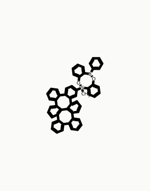 C[Si]1(c2ccc3c(c2)c2cccc4c2-c2c(cccc2c2ccccc23)c2ccccc2c2ccccc42)Oc2ccccc2B(c2ccccc2)Oc2ccccc21